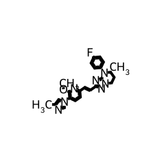 COc1nc(C=Cc2nc3n(n2)CC[C@H](C)N3c2ccc(F)cc2)ccc1-n1cnc(C)c1